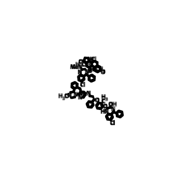 CN1CCN2c3ncccc3Cc3ccccc3C2C1.CNC1=Nc2ccc(Cl)cc2C(c2ccccc2)=[N+]([O-])C1.CNCC[C@@H](Oc1ccccc1C)c1ccccc1.C[C@]12CCC(=O)C=C1CC[C@@H]1[C@@H]2CC[C@]2(C)C(=O)CC[C@@H]12.Cl.O=C1Nc2ccc(Cl)cc2C(c2ccccc2)=NC1O